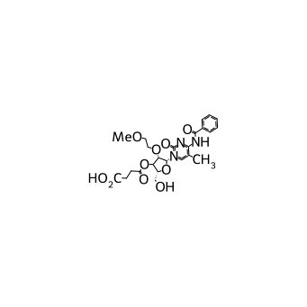 COCCO[C@H]1C(OC(=O)CCC(=O)O)[C@@H](CO)O[C@H]1n1cc(C)c(NC(=O)c2ccccc2)nc1=O